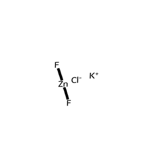 [Cl-].[F][Zn][F].[K+]